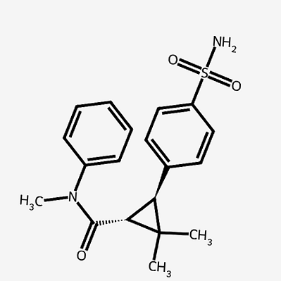 CN(C(=O)[C@@H]1[C@@H](c2ccc(S(N)(=O)=O)cc2)C1(C)C)c1ccccc1